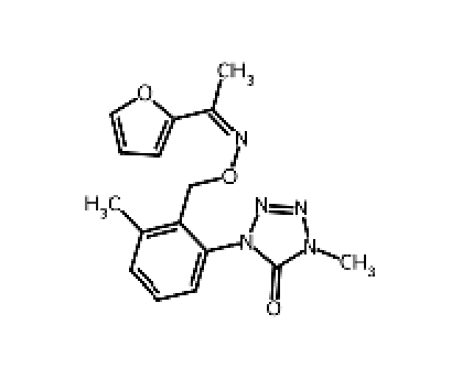 C/C(=N/OCc1c(C)cccc1-n1nnn(C)c1=O)c1ccco1